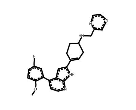 COc1ccc(F)cc1-c1ccnc2[nH]c(C3=CCC(NCc4cnccn4)CC3)cc12